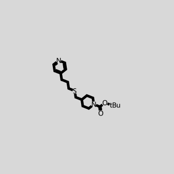 CC(C)(C)OC(=O)N1CCC(CSCCCc2ccncc2)CC1